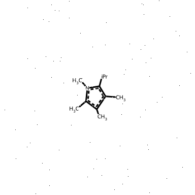 Cc1c(C)c(C(C)C)n(C)c1C